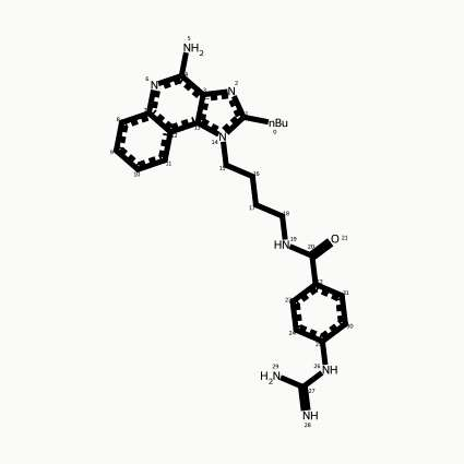 CCCCc1nc2c(N)nc3ccccc3c2n1CCCCNC(=O)c1ccc(NC(=N)N)cc1